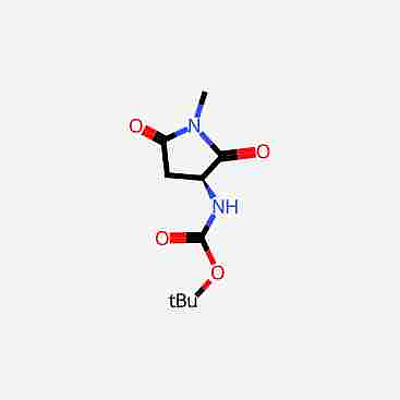 CN1C(=O)C[C@H](NC(=O)OC(C)(C)C)C1=O